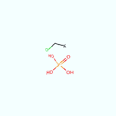 Cl[CH2][K].O=P(O)(O)O